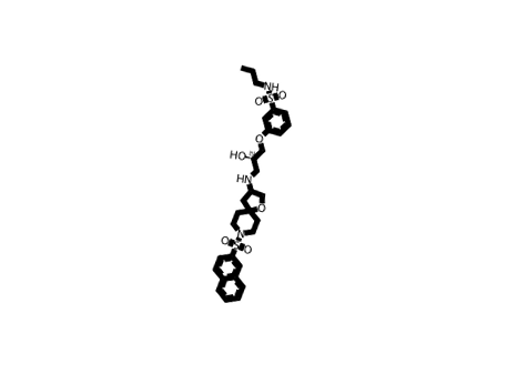 CCCNS(=O)(=O)c1cccc(OC[C@@H](O)CNC2COC3(CCN(S(=O)(=O)c4ccc5ccccc5c4)CC3)C2)c1